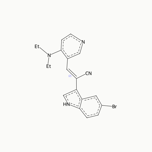 CCN(CC)c1ccncc1/C=C(\C#N)c1c[nH]c2ccc(Br)cc12